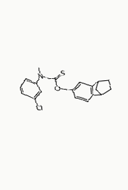 CN(C(=S)Oc1ccc2c(c1)C1CCC2C1)c1cccc(Cl)c1